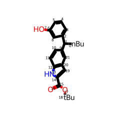 CCCCC(c1cccc(O)c1)c1ccc2[nH]c(C(=O)OC(C)(C)C)cc2c1